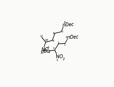 CCCCCCCCCCCCC(CCCC)[N+](=O)[O-].CCCCCCCCCCCCCC(C)[N+](=O)[O-]